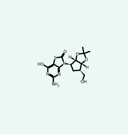 CC1(C)O[C@@H]2[C@@H](CO)C[C@@H](n3c(=O)sc4c(O)nc(N)nc43)[C@@H]2O1